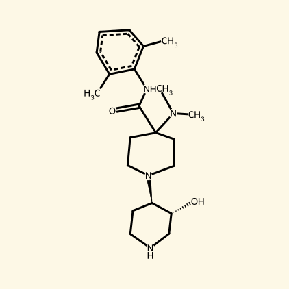 Cc1cccc(C)c1NC(=O)C1(N(C)C)CCN([C@@H]2CCNC[C@H]2O)CC1